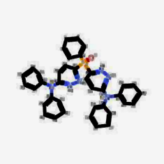 O=P(c1ccccc1)(c1ccc(N(c2ccccc2)c2ccccc2)nn1)c1ccc(N(c2ccccc2)c2ccccc2)nn1